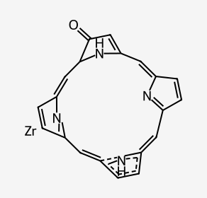 O=C1C=C2C=C3C=CC(=N3)C=c3ccc([nH]3)=CC3=NC(=CC1N2)C=C3.[Zr]